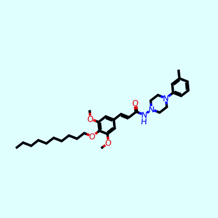 CCCCCCCCCCOc1c(OC)cc(/C=C/C(=O)NN2CCN(c3cccc(C)c3)CC2)cc1OC